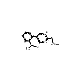 CCCCCCOc1ncc(-c2ccccc2C(O)CC)cn1